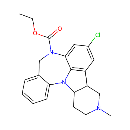 CCOC(=O)N1Cc2ccccc2N2c3c(cc(Cl)cc31)C1CN(C)CCC12